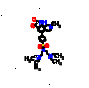 CCN(CC)CCN(CCN(CC)CC)S(=O)(=O)c1ccc(-c2cc3c(c4c2CCN(C)C4)NC(=O)C3=O)cc1